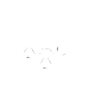 O=Cc1csc(NC(c2ccccc2)c2ccccc2)n1